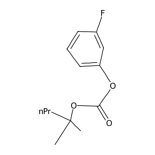 CCCC(C)(C)OC(=O)Oc1cccc(F)c1